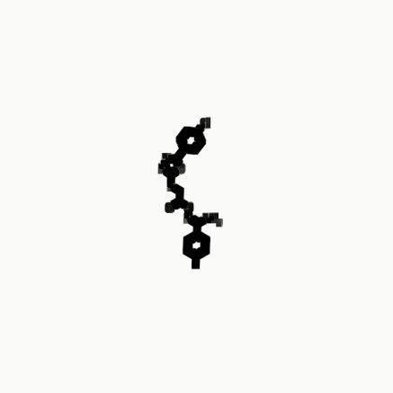 Cc1ccc(/C(N)=N/OC(=O)CSc2nnc(-c3ccc(Cl)cc3)o2)cc1